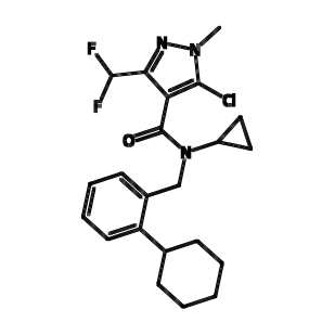 Cn1nc(C(F)F)c(C(=O)N(Cc2ccccc2C2CCCCC2)C2CC2)c1Cl